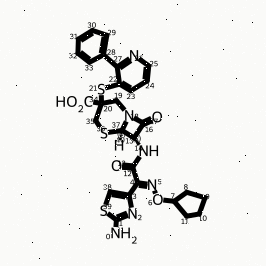 Nc1nc(C(=NOC2CCCC2)C(=O)N[C@@H]2C(=O)N3CC(Sc4cccnc4-c4ccccc4)(C(=O)O)CS[C@H]23)cs1